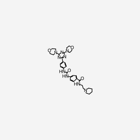 O=C(Nc1ccc(C(=O)NCCN2CCCCC2)cc1)Nc1ccc(-c2nc(N3CCOCC3)nc(N3CCOCC3)n2)cc1